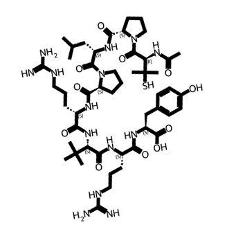 CC(=O)N[C@H](C(=O)N1CCC[C@H]1C(=O)N[C@@H](CC(C)C)C(=O)N1CCC[C@H]1C(=O)N[C@@H](CCCNC(=N)N)C(=O)N[C@H](C(=O)N[C@@H](CCCNC(=N)N)C(=O)N[C@@H](Cc1ccc(O)cc1)C(=O)O)C(C)(C)C)C(C)(C)S